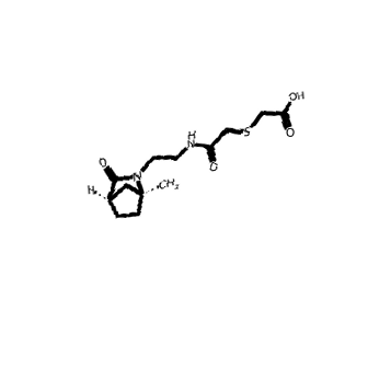 C[C@]12CC[C@H](C1)C(=O)N2CCNC(=O)CSCC(=O)O